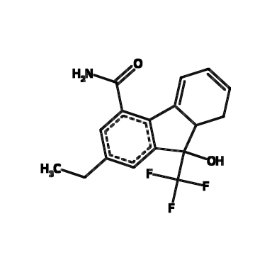 CCc1cc(C(N)=O)c2c(c1)C(O)(C(F)(F)F)C1CC=CC=C21